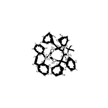 CC1(C)O[C@@H]2[C@@H](O1)C(c1ccccc1)(c1ccccc1)OP(N1c3ccccc3C=Cc3ccccc31)OC2(c1ccccc1)c1ccccc1